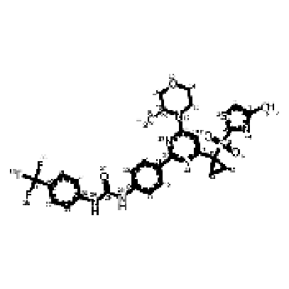 Cc1csc(S(=O)(=O)C2(c3cc(N4CCOC[C@@H]4C)nc(-c4ccc(NC(=O)Nc5ccc(C(F)(F)F)cc5)cc4)n3)CC2)n1